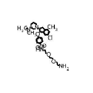 Cc1cc(Cl)cc2c1C[C@H](N1CCC[C@@H](N(C)C)C1)[C@H]2Oc1ccc(S(=O)(=O)NCCOCCOCCN)cc1